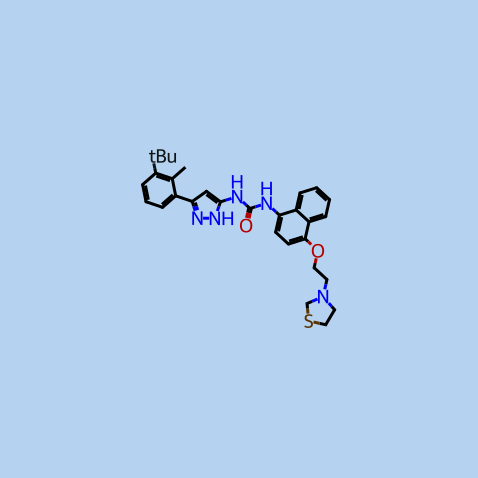 Cc1c(-c2cc(NC(=O)Nc3ccc(OCCN4CCSC4)c4ccccc34)[nH]n2)cccc1C(C)(C)C